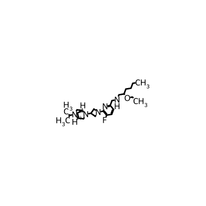 CCCCC(CNCc1ccc(F)c(N2CC(N3C[C@@H]4C[C@H]3CN4C(C)C)C2)n1)OCC